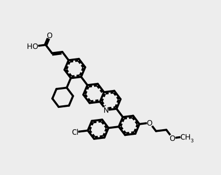 COCCOc1ccc(-c2ccc(Cl)cc2)c(-c2ccc3cc(-c4ccc(/C=C/C(=O)O)cc4C4CCCCC4)ccc3n2)c1